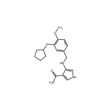 COc1ccc(CNc2n[nH]cc2C(N)=O)cc1OC1CCCC1